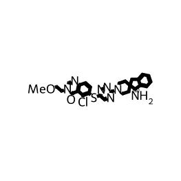 COCCn1cnc2ccc(Sc3cnc(N4CCC5(CC4)Cc4ccccc4[C@H]5N)nn3)c(Cl)c2c1=O